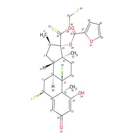 C[C@@H]1C[C@H]2[C@@H]3C[C@H](F)C4=CC(=O)C=C(O)[C@]4(C)[C@@]3(F)CC[C@]2(C)[C@]1(OC(=O)c1ccco1)C(=S)OCF